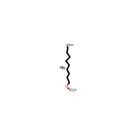 CCCCCCCCCCCCCCCCCCOS(=O)(=O)O.[Ag].[Ag]